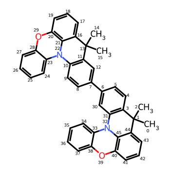 CC1(C)c2ccc(-c3ccc4c(c3)C(C)(C)c3cccc5c3N4c3ccccc3O5)cc2N2c3ccccc3Oc3cccc1c32